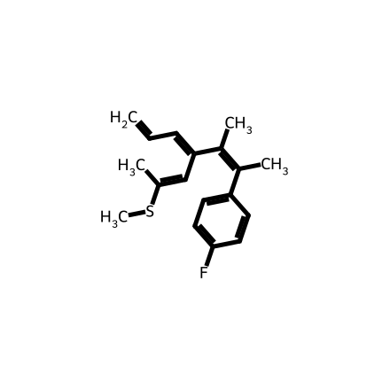 C=C/C=C(\C=C(/C)SC)C(/C)=C(/C)c1ccc(F)cc1